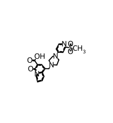 CS(=O)(=O)c1cc(N2CCN(Cc3cc(C(=O)O)c(=O)n4ccccc34)CC2)ccn1